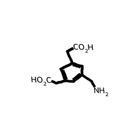 NCc1cc(CC(=O)O)cc(CC(=O)O)c1